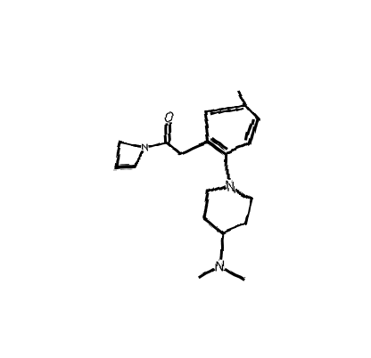 Cc1ccc(N2CCC(N(C)C)CC2)c(CC(=O)N2CCC2)c1